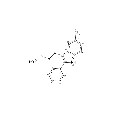 O=C(O)CCCc1c(-c2ccccc2)[nH]c2ccc(C(F)(F)F)cc12